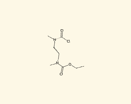 CCOC(=O)N(C)CCN(C)C(=O)Cl